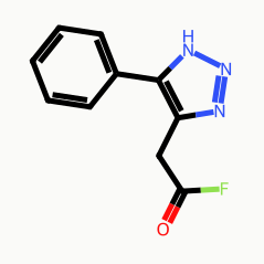 O=C(F)Cc1nn[nH]c1-c1ccccc1